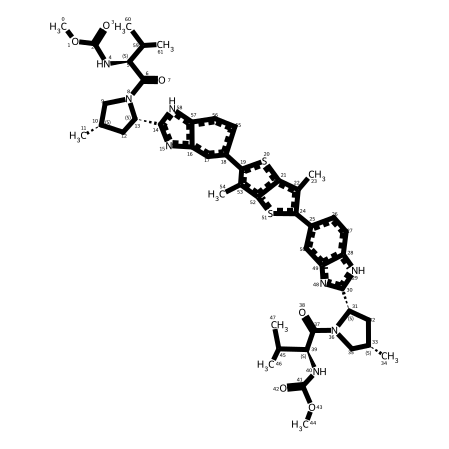 COC(=O)N[C@H](C(=O)N1C[C@@H](C)C[C@H]1c1nc2cc(-c3sc4c(C)c(-c5ccc6[nH]c([C@@H]7C[C@H](C)CN7C(=O)[C@@H](NC(=O)OC)C(C)C)nc6c5)sc4c3C)ccc2[nH]1)C(C)C